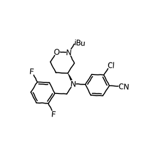 CCC(C)N1C[C@@H](N(Cc2cc(F)ccc2F)c2ccc(C#N)c(Cl)c2)CCO1